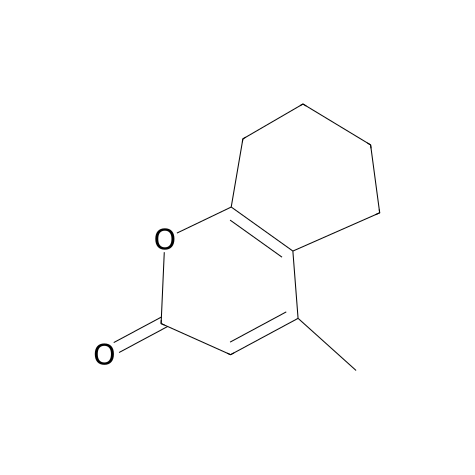 Cc1cc(=O)oc2c1CCCC2